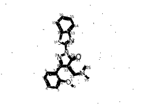 COc1ccccc1C1=NN(c2nc3ccccc3s2)C(=O)C1=CN(C)C